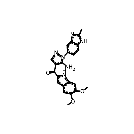 COc1cc2cc(C(=O)c3cnn(-c4ccc5[nH]c(C)nc5c4)c3N)[nH]c2cc1OC